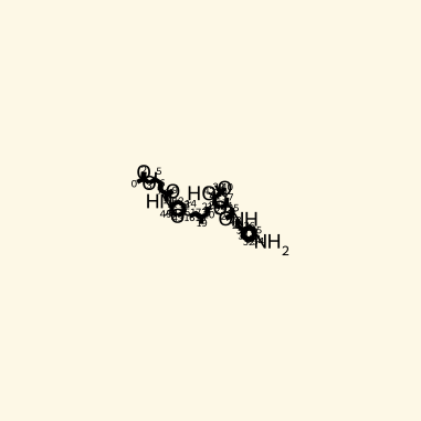 CC(=O)O[C@@H](C)C=CC(=O)N[C@@H]1C[C@H](C)[C@H](CC=C(C)C=C[C@H]2O[C@H](CC(=O)NCc3ccc(N)cc3)C[C@@]3(CO3)[C@@H]2O)O[C@@H]1C